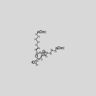 CCCCCCCCCCCCCCCC=CC(OC(C=CCCCCCCCCCCCCCCC)C1CO1)C1CO1